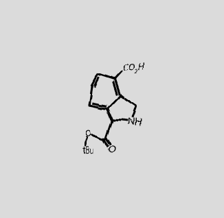 CC(C)(C)OC(=O)C1NCc2c(C(=O)O)cccc21